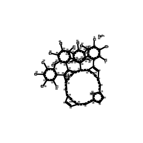 Clc1c(Cl)c(Cl)c(C2=Cc3cc4ccc(cc5nc(cc6[nH]c(c(-c7c(Cl)c(Cl)c(Cl)c(Cl)c7Cl)c2n3)c(-c2c(Cl)c(Cl)c(Cl)c(Cl)c2Cl)c6-c2c(Cl)c(Cl)c(Cl)c(Cl)c2Cl)C=C5)[nH]4)c(Cl)c1Cl.[Fe+3]